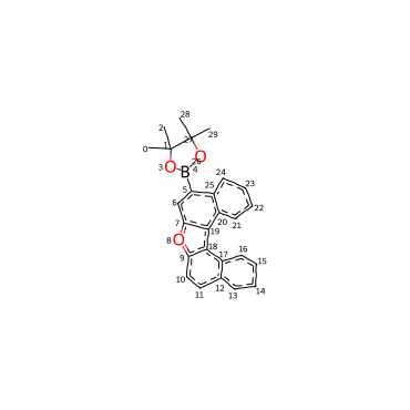 CC1(C)OB(c2cc3oc4ccc5ccccc5c4c3c3ccccc23)OC1(C)C